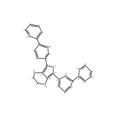 c1ccc(-c2ccc(-c3sc(-c4cccc(-c5ccccn5)n4)c4c3OCCO4)cn2)nc1